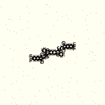 O=C1C(=Cc2cc3c(s2)C2=CC4C=C5OC6(CCCCC6)c6cc(C=C7C(=O)c8cc9cc(F)c(F)cc9cc8C7=O)sc6C5=CC4C=C2OC32CCCCC2)C(=O)c2cc3cc(F)c(F)cc3cc21